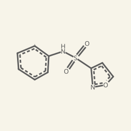 O=S(=O)(Nc1[c]cccc1)c1ccon1